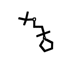 CC(C)(C)OCCC(C)(C)N1CCCC1